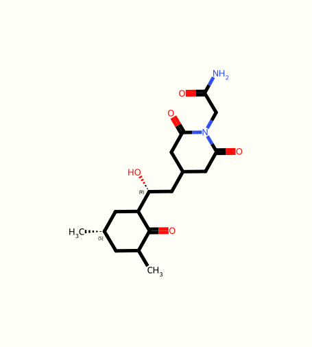 CC1C[C@H](C)CC([C@H](O)CC2CC(=O)N(CC(N)=O)C(=O)C2)C1=O